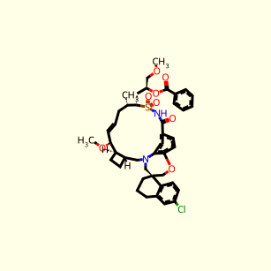 COC[C@H](C[C@H]1[C@@H](C)C/C=C/[C@H](OC)[C@@H]2CC[C@H]2CN2C[C@@]3(CCCc4cc(Cl)ccc43)COc3ccc(cc32)C(=O)NS1(=O)=O)OC(=O)c1ccccc1